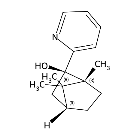 CC1(C)[C@@H]2CC[C@@]1(C)[C@@](O)(c1ccccn1)C2